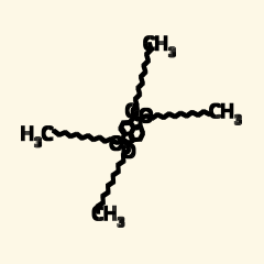 CCCCCCCCCCCCOC1=C(OCCCCCCCCCCCC)c2ccc3c4c2=C1CCC=4C(OCCCCCCCCCCCC)=C3OCCCCCCCCCCCC